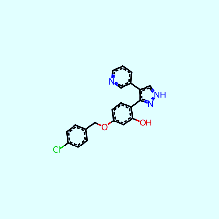 Oc1cc(OCc2ccc(Cl)cc2)ccc1-c1n[nH]cc1-c1cccnc1